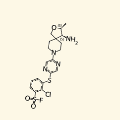 C[C@@H]1OCC2(CCN(c3cnc(Sc4cccc(S(=O)(=O)F)c4Cl)cn3)CC2)[C@@H]1N